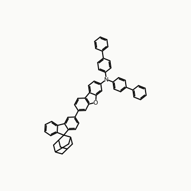 c1ccc(-c2ccc(N(c3ccc(-c4ccccc4)cc3)c3ccc4c(c3)oc3cc(-c5ccc6c(c5)-c5ccccc5C65C6CC7CC(C6)CC5C7)ccc34)cc2)cc1